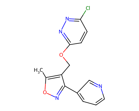 Cc1onc(-c2cccnc2)c1COc1ccc(Cl)nn1